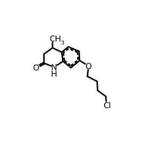 CC1CC(=O)Nc2cc(OCCCCCl)ccc21